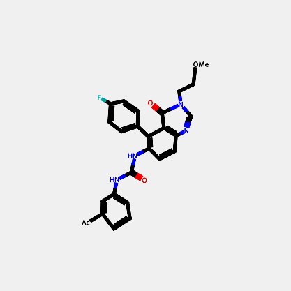 COCCn1cnc2ccc(NC(=O)Nc3cccc(C(C)=O)c3)c(-c3ccc(F)cc3)c2c1=O